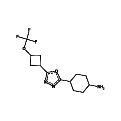 NC1CCC(c2nnc(C3CC(OC(F)(F)F)C3)o2)CC1